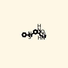 O=C1Nc2ccc(-c3csc(-c4ccccc4)n3)cc2/C1=C/c1ncc[nH]1